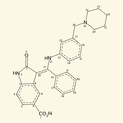 O=C1Nc2ccc(C(=O)O)cc2C1=C(Nc1cccc(CN2CCCCC2)c1)c1ccccc1